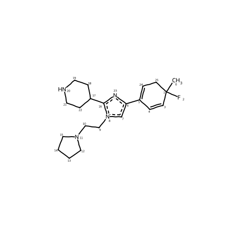 CC1(F)C=CC(c2cn(CCN3CCCC3)c(C3CCNCC3)n2)=CC1